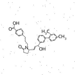 Cc1ccc(-c2cccc(C(O)/C=C/C3CCC(=O)N3CCCc3ccc(C(=O)O)cc3)c2)c(C)c1